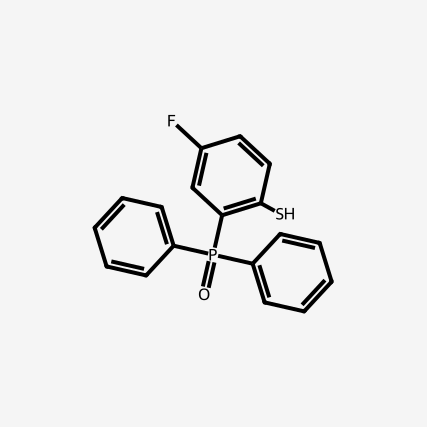 O=P(c1ccccc1)(c1ccccc1)c1cc(F)ccc1S